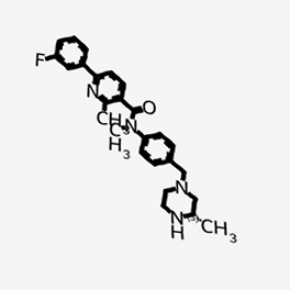 Cc1nc(-c2cccc(F)c2)ccc1C(=O)N(C)c1ccc(CN2CCN[C@@H](C)C2)cc1